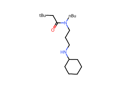 CCCCN(CCCNC1CCCCC1)C(=O)CC(C)(C)C